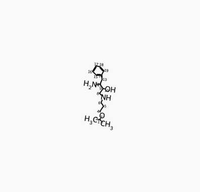 CC(C)OCCCNCC(O)C(N)Cc1ccccc1